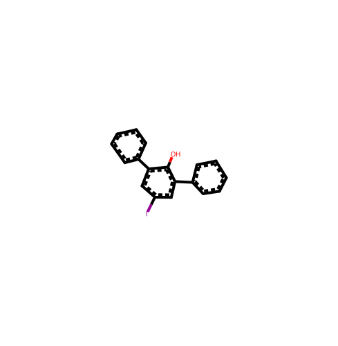 Oc1c(-c2ccccc2)cc(I)cc1-c1ccccc1